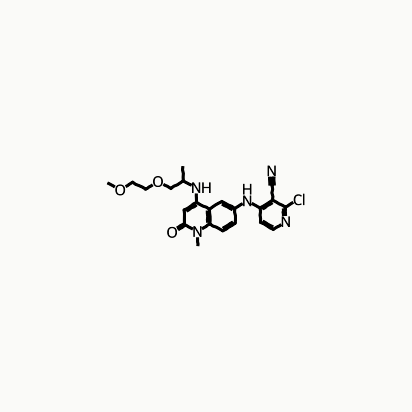 COCCOCC(C)Nc1cc(=O)n(C)c2ccc(Nc3ccnc(Cl)c3C#N)cc12